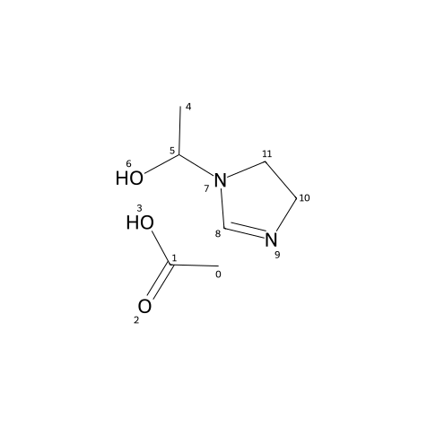 CC(=O)O.CC(O)N1C=NCC1